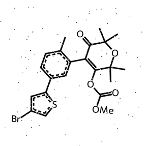 COC(=O)OC1=C(c2cc(-c3cc(Br)cs3)ccc2C)C(=O)C(C)(C)OC1(C)C